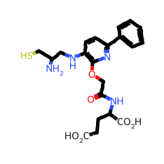 NC(CS)CNc1ccc(-c2ccccc2)nc1OCC(=O)NC(CCC(=O)O)C(=O)O